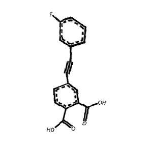 O=C(O)c1ccc(C#Cc2cccc(F)c2)cc1C(=O)O